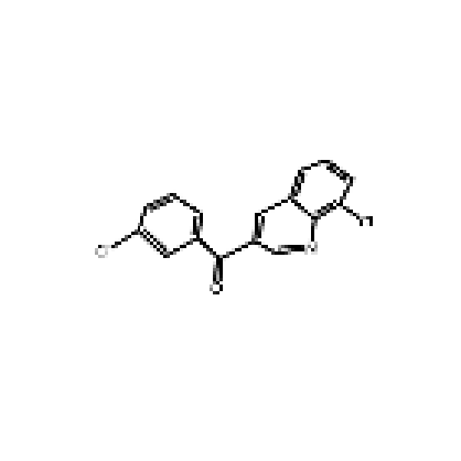 O=C(c1cccc(Cl)c1)c1cnc2c(Cl)cccc2c1